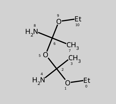 CCOC(C)(N)OC(C)(N)OCC